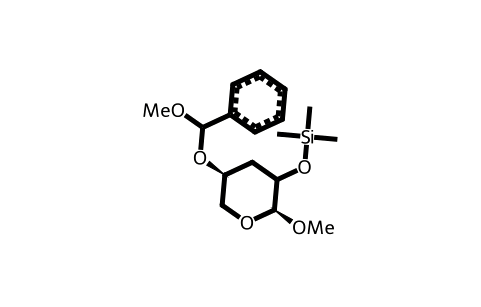 COC(O[C@@H]1CO[C@H](OC)C(O[Si](C)(C)C)C1)c1ccccc1